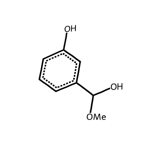 COC(O)c1cccc(O)c1